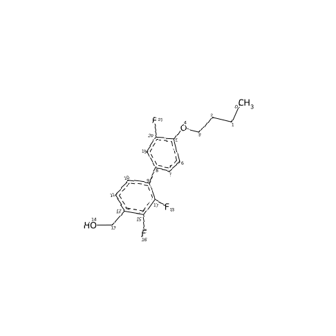 CCCCOc1ccc(-c2ccc(CO)c(F)c2F)cc1F